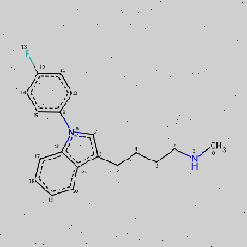 CNCCCCc1cn(-c2ccc(F)cc2)c2ccccc12